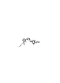 COCCCC(OC)c1cccc(-c2csc(NC(=O)c3cc(Cl)c(/C=C(\C)C(=O)O)c(Cl)c3)n2)c1F